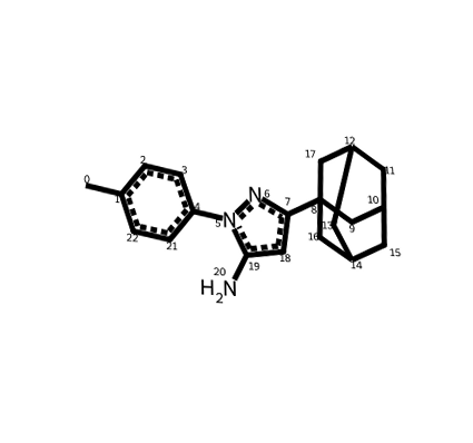 Cc1ccc(-n2nc(C34CC5CC(CC(C5)C3)C4)cc2N)cc1